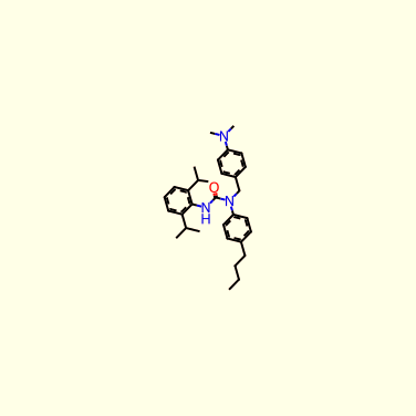 CCCCc1ccc(N(Cc2ccc(N(C)C)cc2)C(=O)Nc2c(C(C)C)cccc2C(C)C)cc1